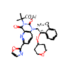 COc1ccccc1[C@H](Cn1c(=O)n(C(C)(C)C(=O)O)c(=O)c2nc(-c3ncco3)ccc21)OC1CCOCC1